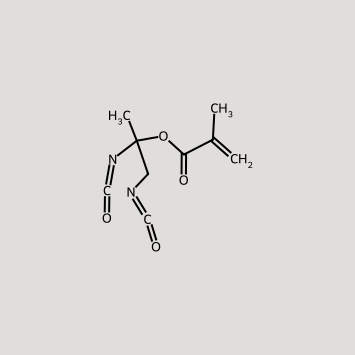 C=C(C)C(=O)OC(C)(CN=C=O)N=C=O